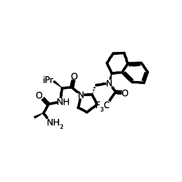 CC(C)[C@H](NC(=O)[C@H](C)N)C(=O)N1CCC[C@H]1CN(C(=O)C(F)(F)F)[C@H]1CCCc2ccccc21